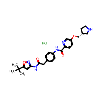 CC(C)(C)c1cc(NC(=O)Cc2ccc(NC(=O)c3ccc(OC[C@@H]4CCNC4)cn3)cc2)no1.Cl